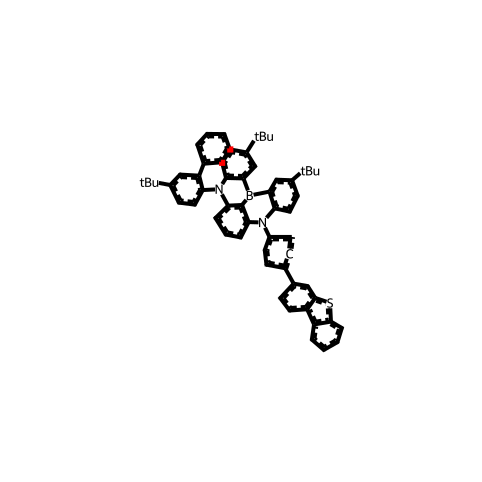 CC(C)(C)c1ccc2c(c1)B1c3cc(C(C)(C)C)ccc3N(c3ccc(C(C)(C)C)cc3-c3ccccc3)c3cccc(c31)N2c1ccc(-c2ccc3c(c2)sc2ccccc23)cc1